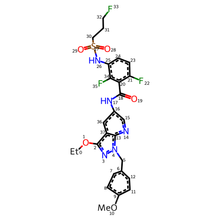 CCOc1nn(Cc2ccc(OC)cc2)c2ncc(NC(=O)c3c(F)ccc(NS(=O)(=O)CCCF)c3F)cc12